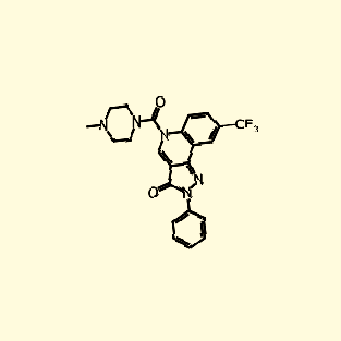 CN1CCN(C(=O)n2cc3c(=O)n(-c4ccccc4)nc-3c3cc(C(F)(F)F)ccc32)CC1